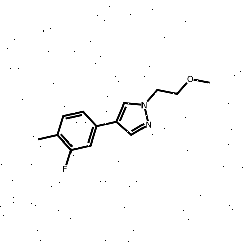 COCCn1cc(-c2ccc(C)c(F)c2)cn1